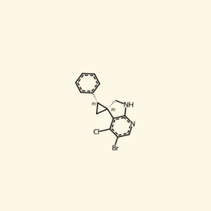 Clc1c(Br)cnc2c1[C@@]1(CN2)C[C@@H]1c1ccccc1